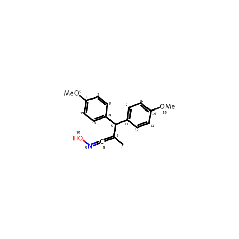 COc1ccc(C(C(C)=C=NO)c2ccc(OC)cc2)cc1